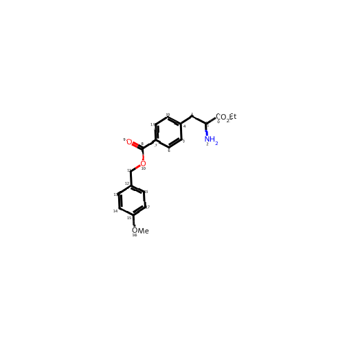 CCOC(=O)C(N)Cc1ccc(C(=O)OCc2ccc(OC)cc2)cc1